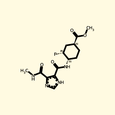 CNC(=O)c1nc[nH]c1C(=O)N[C@H]1CC[C@H](C(=O)OC)C[C@H]1F